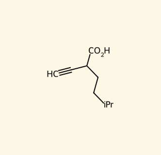 C#CC(CCC(C)C)C(=O)O